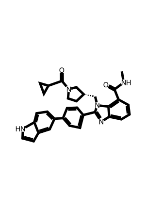 CNC(=O)c1cccc2nc(-c3ccc(-c4ccc5[nH]ccc5c4)cc3)n(C[C@@H]3CCN(C(=O)C4CC4)C3)c12